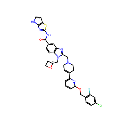 O=C(Nc1nc2[nH]ccc2s1)c1ccc2c(c1)nc(CN1CC=C(c3cccc(OCc4ccc(Cl)cc4F)n3)CC1)n2C[C@@H]1CCO1